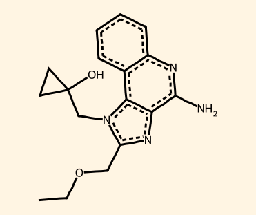 CCOCc1nc2c(N)nc3ccccc3c2n1CC1(O)CC1